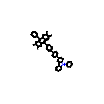 Cc1cc2c(-c3ccccc3)c3cc(C)c(C)cc3c(-c3ccc(-c4ccc(-c5ccc6c(c5)c5ccccc5n6-c5ccccc5)cc4)cc3)c2cc1C